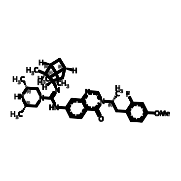 COc1ccc(C[C@@H](C)n2cnc3cc(NC(=N[C@H]4C[C@H]5C[C@@H]([C@@H]4C)C5(C)C)N4C[C@@H](C)N[C@@H](C)C4)ccc3c2=O)c(F)c1